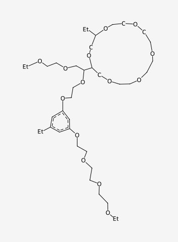 CCOCCOCCOCCOc1cc(CC)cc(OCCOC(COCCOCC)C2COCCOCCOCCOCCOC(CC)CO2)c1